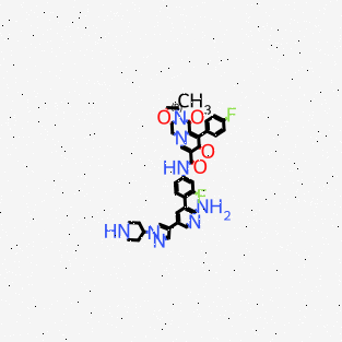 C[C@@H]1COC2Cn3cc(C(=O)Nc4ccc(-c5cc(-c6cnn(C7CCNCC7)c6)cnc5N)c(F)c4)c(=O)c(-c4ccc(F)cc4)c3C(=O)N21